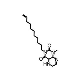 C=CCCCCCCCCCN1C(=O)C2NCC=NC2N(C)C1=O